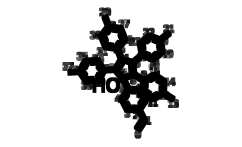 C=Cc1ccc(C2(O)C(c3ccc(C)cc3)=C(c3ccc(C)cc3)C(c3ccc(C)cc3)=C2c2ccc(C)cc2)cc1